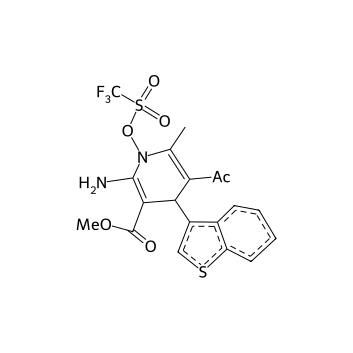 COC(=O)C1=C(N)N(OS(=O)(=O)C(F)(F)F)C(C)=C(C(C)=O)C1c1csc2ccccc12